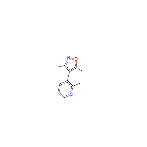 Cc1ncccc1-c1c(C)noc1C